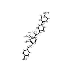 CCCC1CCC(COc2ccc(C(O)CC3CCC(C4CCC(CCC)CC4)CC3)c(C(F)F)c2F)CC1